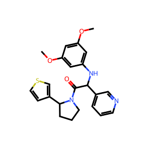 COc1cc(NC(C(=O)N2CCCC2c2ccsc2)c2cccnc2)cc(OC)c1